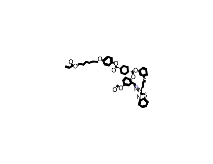 C=CC(=O)OCCCCCCOc1ccc(OC(=O)[C@H]2CC[C@H](C(=O)Oc3ccc(OC=O)cc3/C=N/N(CCSc3ccccc3)c3nc4ccccc4s3)CC2)cc1